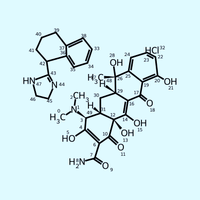 CN(C)[C@@H]1C(O)=C(C(N)=O)C(=O)[C@@]2(O)C(O)=C3C(=O)c4c(O)cccc4[C@@](C)(O)[C@H]3C[C@@H]12.Cl.c1ccc2c(c1)CCCC2C1=NCCN1